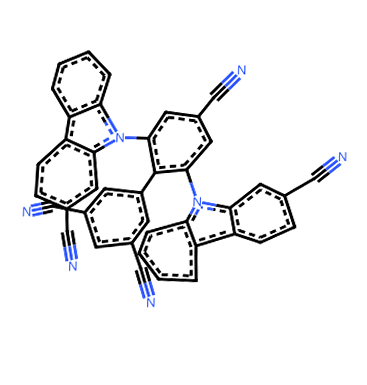 N#Cc1cc(C#N)cc(-c2c(-n3c4ccccc4c4ccc(C#N)cc43)cc(C#N)cc2-n2c3ccccc3c3ccc(C#N)cc32)c1